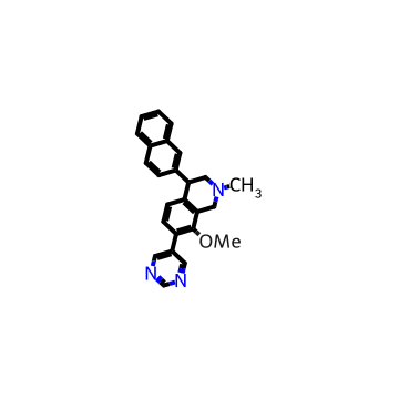 COc1c(-c2cncnc2)ccc2c1CN(C)CC2c1ccc2ccccc2c1